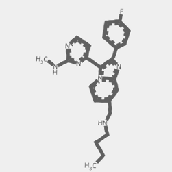 CCCCNCc1ccn2c(-c3ccnc(NC)n3)c(-c3ccc(F)cc3)nc2c1